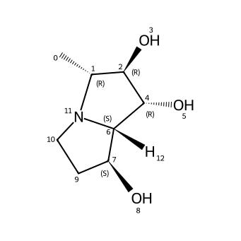 C[C@@H]1[C@@H](O)[C@H](O)[C@@H]2[C@@H](O)CCN21